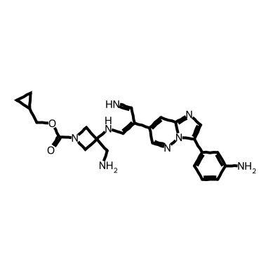 N=C/C(=C\NC1(CN)CN(C(=O)OCC2CC2)C1)c1cnn2c(-c3cccc(N)c3)cnc2c1